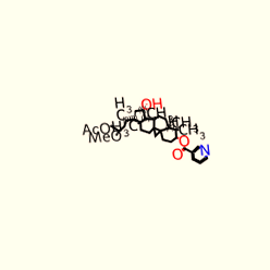 COC(COC(C)=O)C[C@@H](C)[C@H]1C[C@H](O)[C@@]2(C)C3CC[C@H]4C(C)(C)C(OC(=O)c5cccnc5)CCC45CC35CCC12C